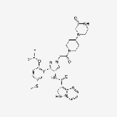 CSc1ccc(OC(F)F)c(-c2nn(CC(=O)N3CCC(N4CCNC(=O)C4)CC3)cc2NC(=O)C2=C3N=CC=CN3NC2)c1